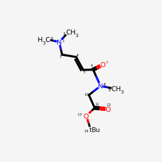 CN(C)C/C=C/C(=O)N(C)CC(=O)OC(C)(C)C